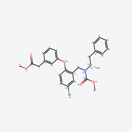 COC(=O)Cc1cccc(Oc2ccc(Br)cc2CN(C(=O)OC)[C@@H](C)Cc2ccccc2)c1